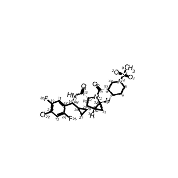 CS(=O)(=O)N1CCC[C@H](C(=O)N2[C@@H](C(=O)N[C@@H](c3cc(F)c(Cl)cc3F)C3CC3)C[C@H]3C[C@H]32)C1